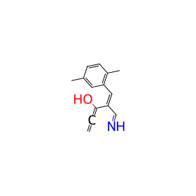 C=C=C(O)/C(C=N)=C\c1cc(C)ccc1C